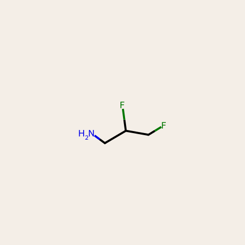 NCC(F)CF